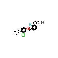 O=C(O)c1cccc(COc2ccc(C(F)(F)F)c(Cl)c2)c1F